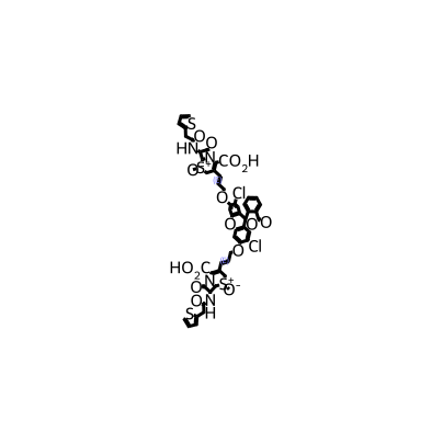 O=C(Cc1cccs1)NC1C(=O)N2C(C(=O)O)=C(/C=C/COc3cc4c(cc3Cl)C3(OC(=O)c5ccccc53)c3cc(Cl)c(OC/C=C/C5=C(C(=O)O)N6C(=O)C(NC(=O)Cc7cccs7)C6[S+]([O-])C5)cc3O4)C[S+]([O-])C12